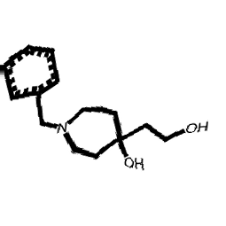 OCCC1(O)CCN(Cc2ccccc2)CC1